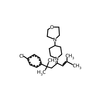 CC(C)=CC(CC(C)(C)c1ccc(Cl)cc1)N1CCC(N2CCOCC2)CC1